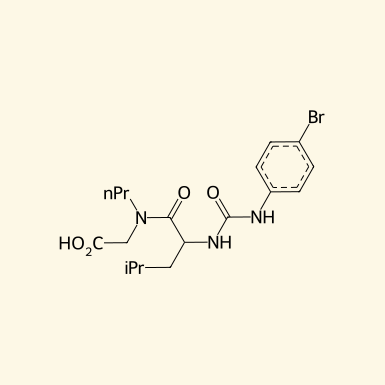 CCCN(CC(=O)O)C(=O)C(CC(C)C)NC(=O)Nc1ccc(Br)cc1